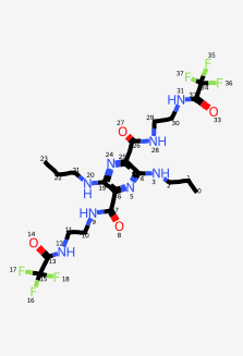 CCCNc1nc(C(=O)NCCNC(=O)C(F)(F)F)c(NCCC)nc1C(=O)NCCNC(=O)C(F)(F)F